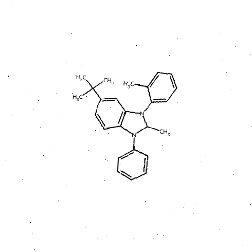 Cc1ccccc1N1c2cc(C(C)(C)C)ccc2N(c2ccccc2)C1C